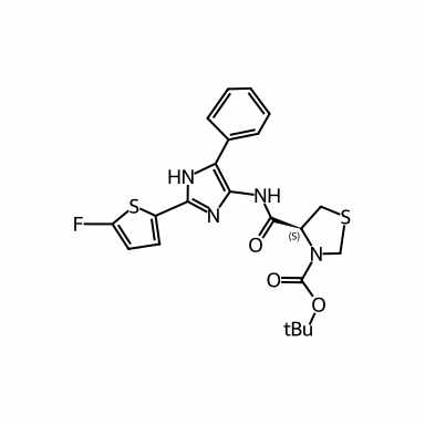 CC(C)(C)OC(=O)N1CSC[C@@H]1C(=O)Nc1nc(-c2ccc(F)s2)[nH]c1-c1ccccc1